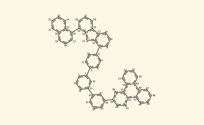 c1cc(-c2ccc(-c3cccc4c3sc3c(-c5cccc6ccccc56)cccc34)cc2)cc(-c2cccc(-c3cnc4c5ccccc5c5ccccc5c4n3)c2)c1